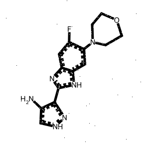 Nc1c[nH]nc1-c1nc2cc(F)c(N3CCOCC3)cc2[nH]1